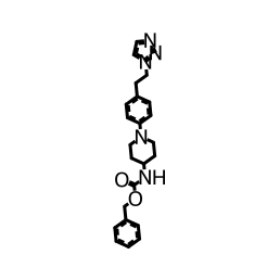 O=C(NC1CCN(c2ccc(CCn3ccnn3)cc2)CC1)OCc1ccccc1